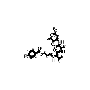 COC(=O)CC(NC(=O)C(C)NC(=O)C(NOCCOC(=O)c1ccc(F)cc1)C(C)C)C(=O)CF